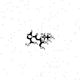 CC=C(C)C(CC(=O)N1C(=S)SCC1C(C)C)O[Si](C)(C)C(C)(C)C